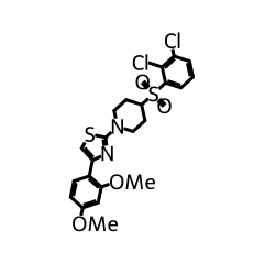 COc1ccc(-c2csc(N3CCC(S(=O)(=O)c4cccc(Cl)c4Cl)CC3)n2)c(OC)c1